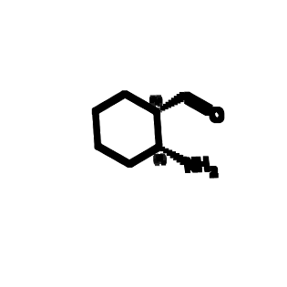 N[C@@H]1CCCC[C@@H]1C=O